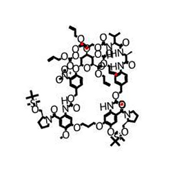 C=CCOC(=O)N[C@H](C(=O)N[C@@H](C)C(=O)Nc1ccc(COC(=O)Nc2cc(OCCCOc3cc(NC(=O)OCc4ccc(O[C@@H]5O[C@H](C(=O)OCC=C)[C@@H](OC(=O)OCC=C)[C@H](OC(=O)OCC=C)[C@H]5OC(=O)OCC=C)c([N+](=O)[O-])c4)c(C(=O)N4CCC[C@H]4CO[Si](C)(C)C(C)(C)C)cc3OC)c(OC)cc2C(=O)N2CCC[C@H]2CO[Si](C)(C)C(C)(C)C)cc1)C(C)C